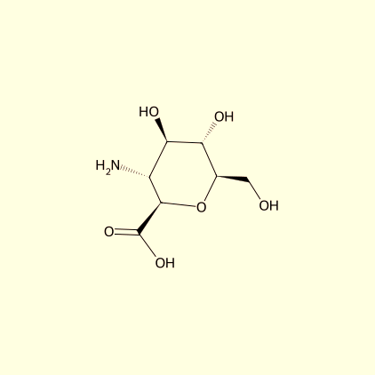 N[C@@H]1[C@@H](O)[C@H](O)[C@@H](CO)O[C@H]1C(=O)O